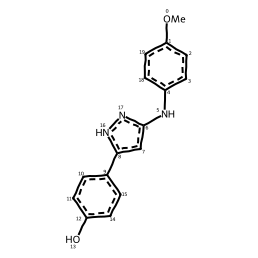 COc1ccc(Nc2cc(-c3ccc(O)cc3)[nH]n2)cc1